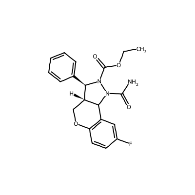 CCOC(=O)N1[C@H](c2ccccc2)[C@H]2COc3ccc(F)cc3C2N1C(N)=O